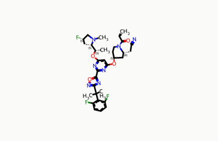 C=CC(=O)N1CC[C@H](Oc2cc(O[C@@H](C)[C@@H]3C[C@H](F)CN3C)nc(-c3nc(C(C)(C)c4c(F)cccc4F)no3)n2)C[C@H]1CC#N